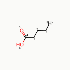 [3H]CCCC(=O)O